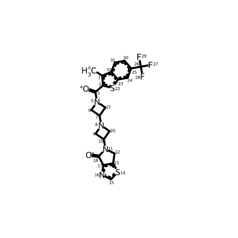 Cc1c(C(=O)N2CC(N3CC(N4Cc5scnc5C4=O)C3)C2)sc2cc(C(F)(F)F)ccc12